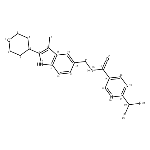 Cc1c(C2CCOCC2)[nH]c2ccc(CNC(=O)c3cnc(C(F)F)nc3)cc12